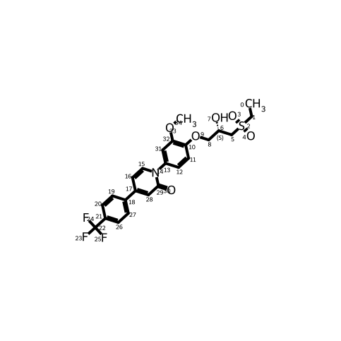 CCS(=O)(=O)C[C@@H](O)COc1ccc(-n2ccc(-c3ccc(C(F)(F)F)cc3)cc2=O)cc1OC